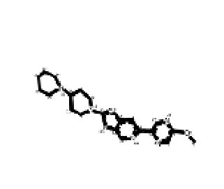 COc1cnc(-c2cc3sc(N4CCC(N5CCCCC5)CC4)nc3cn2)cn1